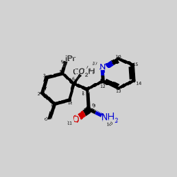 CC1CCC(C(C)C)C(C(=O)O)(C(C(N)=O)c2ccccn2)C1